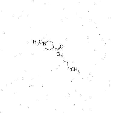 CCCCCOC(=O)C1CCN(C)CC1